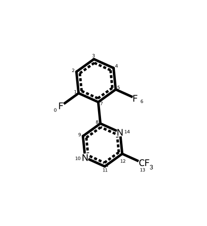 Fc1cccc(F)c1-c1cn[c]c(C(F)(F)F)n1